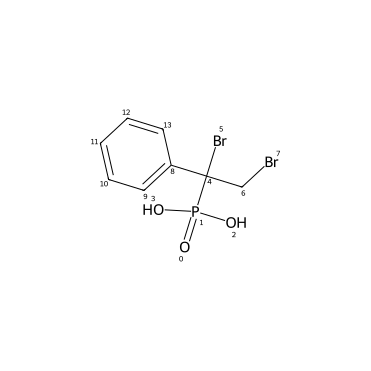 O=P(O)(O)C(Br)(CBr)c1ccccc1